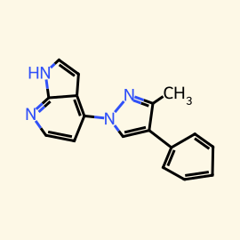 Cc1nn(-c2ccnc3[nH]ccc23)cc1-c1ccccc1